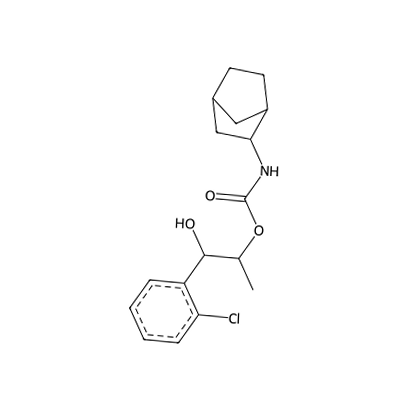 CC(OC(=O)NC1CC2CCC1C2)C(O)c1ccccc1Cl